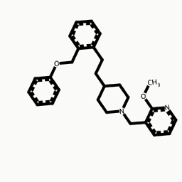 COc1ncccc1CN1CCC(CCc2ccccc2COc2ccccc2)CC1